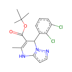 CC1=C(C(=O)OC(C)(C)C)C(c2cccc(Cl)c2Cl)n2nccc2N1